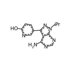 CC(C)n1nc(-c2ccc(O)nc2)c2c(N)ncnc21